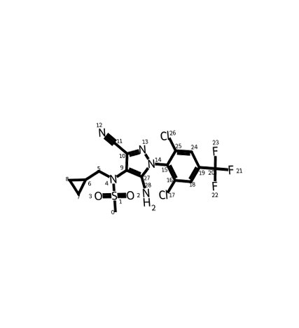 CS(=O)(=O)N(CC1CC1)c1c(C#N)nn(-c2c(Cl)cc(C(F)(F)F)cc2Cl)c1N